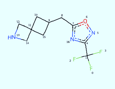 FC(F)(F)c1noc(CC2CC3(CNC3)C2)n1